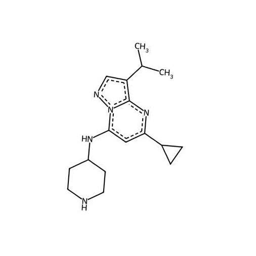 CC(C)c1cnn2c(NC3CCNCC3)cc(C3CC3)nc12